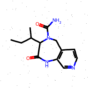 CCC(C)C1C(=O)Nc2cnccc2CN1C(N)=O